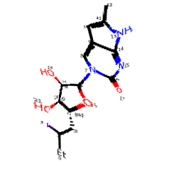 CCC(I)C[C@H]1OC(n2cc3cc(C)[nH]c3nc2=O)[C@H](O)[C@@H]1O